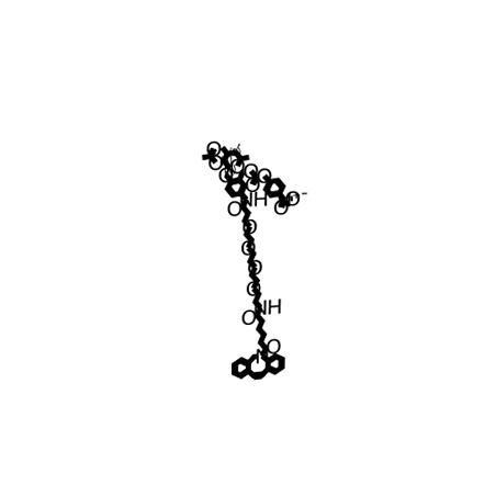 CC(=O)O[C@H]1C(C)[C@H](C)C(C)O[C@H]1Oc1ccc(NC(=O)CCOCCOCCOCCOCCNC(=O)CCCCC(=O)N2Cc3ccccc3C#Cc3ccccc32)cc1COC(=O)Oc1ccc([N+](=O)[O-])cc1